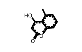 Cc1cccc2oc(=O)cc(O)c12